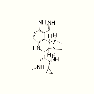 CN/C=C(\C(=N)C1CC1)[C@@H]1Nc2ccc(N)c(C=N)c2[C@H]2[C@@H]3CC[C@H](C3)[C@H]21